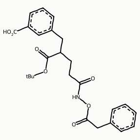 CC(C)(C)OC(=O)C(CCC(=O)NOC(=O)Cc1ccccc1)Cc1cccc(C(=O)O)c1